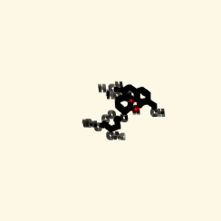 CC(=O)O[C@@H](CC(=O)OC1=CC[C@@]2(O)[C@H]3Cc4ccc(CO)c5c4[C@@]2(CCN3C)[C@H]1O5)C(=O)OC(C)(C)C